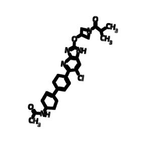 CC(=O)NC1CC=C(C2=CC=C(c3nc4nc(OC5CN(C(=O)C(C)C)C5)[nH]c4cc3Cl)CC2)CC1